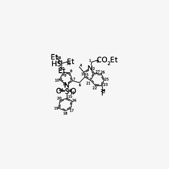 CCOC(=O)Cn1c(C)c(Cc2cccn2S(=O)(=O)c2ccccc2)c2cc(F)ccc21.CC[SiH](CC)CC